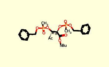 CCCCOC(=O)[C@H](OP(C)(=O)OCc1ccccc1)[C@@H](OP(C)(=O)OCc1ccccc1)C(C)=O